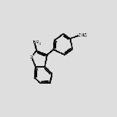 O=Cc1ccc(-c2c([N+](=O)[O-])oc3ccccc23)cc1